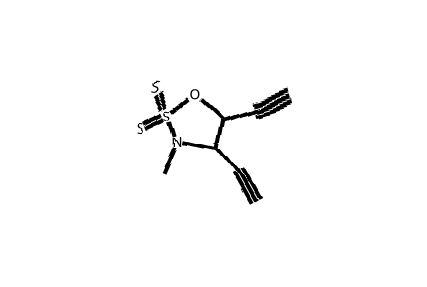 C#CC1OS(=S)(=S)N(C)C1C#C